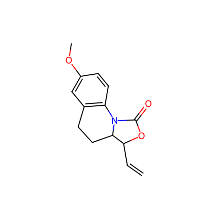 C=CC1OC(=O)N2c3ccc(OC)cc3CCC12